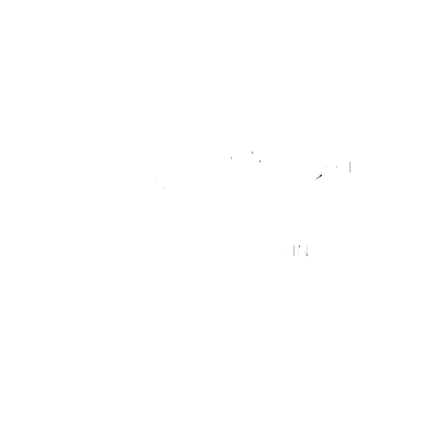 O[C@H](c1cc(CSc2ccccc2)on1)[C@@H]1CCCN1